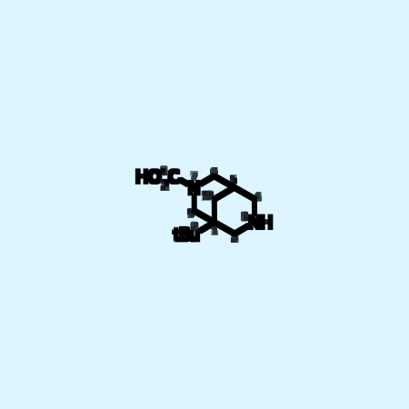 CC(C)(C)C12CNCC(CN(C(=O)O)C1)C2